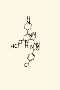 Cl.O=c1cc(C2CCNCC2)n2ncc(-c3noc(-c4ccc(Cl)cc4)n3)c2[nH]1